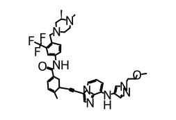 COCCn1cc(Nc2cccn3c(C#CC4CC(C(=O)Nc5ccc(CN6CCN(C)[C@H](C)C6)c(C(F)(F)F)c5)=CC=C4C)cnc23)cn1